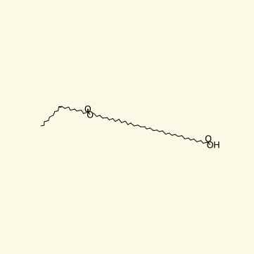 CCCCCCCC/C=C\CCCCCCCC(=O)OCCCCCCCCCCCCCCCCCCCCCCCCCCCCCCCCCCCCC(=O)O